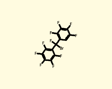 Fc1cc(C(F)(Br)c2c(F)c(F)c(F)c(F)c2F)c(F)c(F)c1F